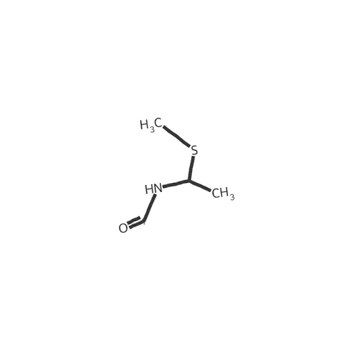 CSC(C)N[C]=O